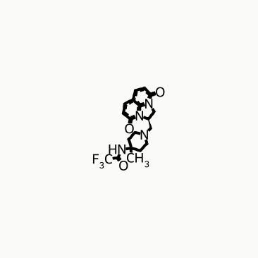 CC1(NC(=O)C(F)(F)F)CCN(C[C@@H]2Cn3c(=O)ccc4ccc(=O)n2c43)CC1